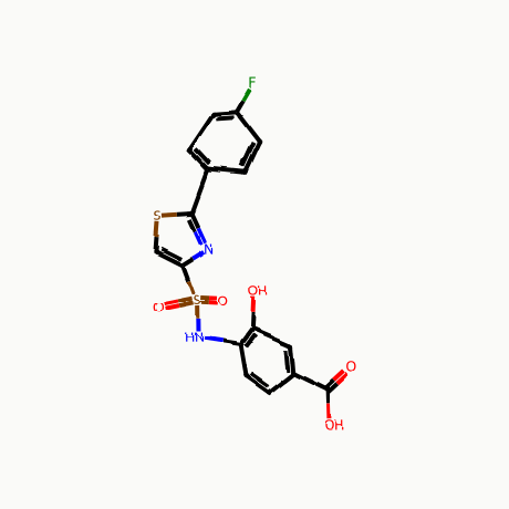 O=C(O)c1ccc(NS(=O)(=O)c2csc(-c3ccc(F)cc3)n2)c(O)c1